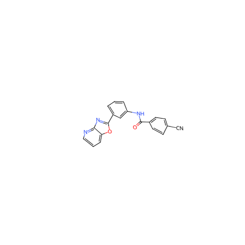 N#Cc1ccc(C(=O)Nc2cccc(-c3nc4ncccc4o3)c2)cc1